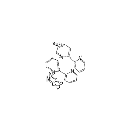 [N-]=C=O.[N-]=C=O.[Ru+2].c1ccc(-c2ccccn2)nc1.c1ccc(-c2ccccn2)nc1